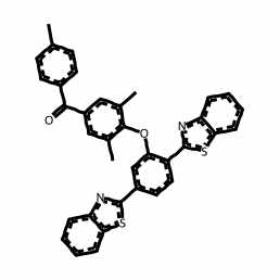 Cc1ccc(C(=O)c2cc(C)c(Oc3cc(-c4nc5ccccc5s4)ccc3-c3nc4ccccc4s3)c(C)c2)cc1